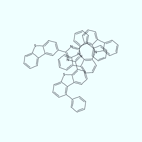 c1ccc(-c2ccccc2-n2c3ccccc3c3cccc(-n4c5ccccc5c5cccc(-c6nc(-c7ccc8sc9ccccc9c8c7)nc(-c7cccc8c7sc7cccc(-c9ccccc9)c78)n6)c54)c32)cc1